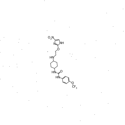 O=C(Nc1ccc(OC(F)(F)F)cc1)NC1CCC(NCCOc2nc([N+](=O)[O-])c[nH]2)CC1